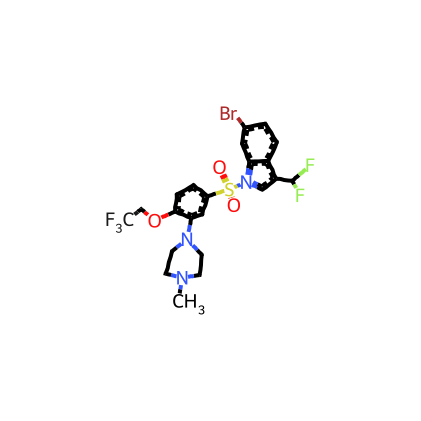 CN1CCN(c2cc(S(=O)(=O)n3cc(C(F)F)c4ccc(Br)cc43)ccc2OCC(F)(F)F)CC1